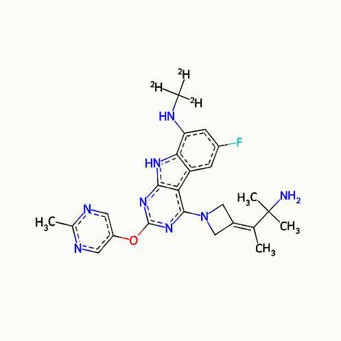 [2H]C([2H])([2H])Nc1cc(F)cc2c1[nH]c1nc(Oc3cnc(C)nc3)nc(N3CC(=C(C)C(C)(C)N)C3)c12